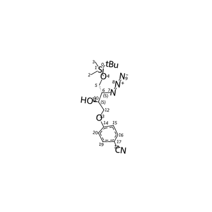 CC(C)(C)[Si](C)(C)OC[C@H](N=[N+]=[N-])[C@H](O)COc1ccc(C#N)cc1